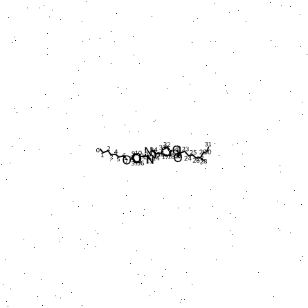 CCCCCCCOc1ccc(-c2ncc(-c3ccc(OC(=O)CCCCC(C)CCC)cc3)cn2)cc1